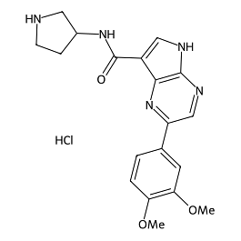 COc1ccc(-c2cnc3[nH]cc(C(=O)NC4CCNC4)c3n2)cc1OC.Cl